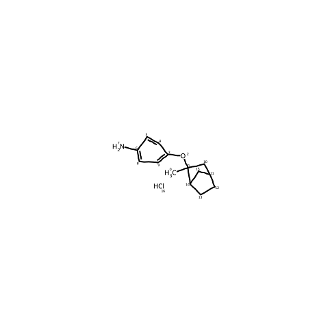 CC1(Oc2ccc(N)cc2)CC2CCC1C2.Cl